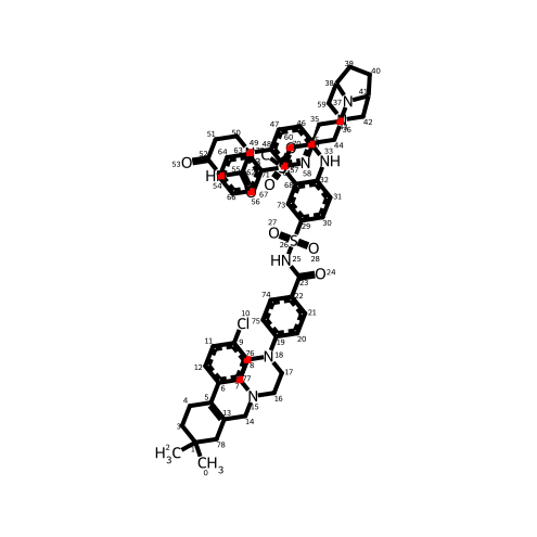 CC1(C)CCC(c2ccc(Cl)cc2)=C(CN2CCN(c3ccc(C(=O)NS(=O)(=O)c4ccc(N[C@H](CCN5C6CCC5CN(Cc5ccc(N7CCC(=O)NC7=O)cn5)C6)CSc5ccccc5)c(S(=O)(=O)C(F)(F)F)c4)cc3)CC2)C1